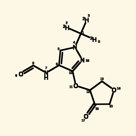 [2H]C([2H])([2H])n1cc(NC=O)c(OC2COCC2=O)n1